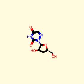 O=c1cnn([C@H]2O[C@@H](CO)CC2O)c(=O)[nH]1